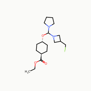 CCOC(=O)[C@H]1CC[C@H](OC(N2CCCC2)N2CC(CF)C2)CC1